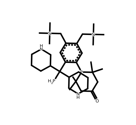 CC1(C)CC(=O)CC(C)(C)P1c1cc(C[Si](C)(C)C)c(C[Si](C)(C)C)cc1C(P)(C1CCCNC1)C1CCCNC1